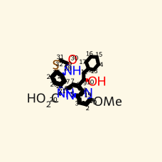 COc1ccc2nccc(C(O)CC3CCCCC3)c2n1.O=C(O)Nc1ccc2c(c1)NC(=O)CS2